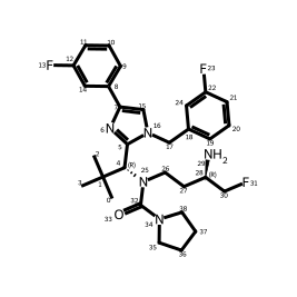 CC(C)(C)[C@H](c1nc(-c2cccc(F)c2)cn1Cc1cccc(F)c1)N(CC[C@@H](N)CF)C(=O)N1CCCC1